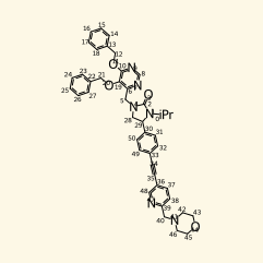 CC(C)N1C(=O)N(Cc2ncnc(OCc3ccccc3)c2OCc2ccccc2)CC1c1ccc(C#Cc2ccc(CN3CCOCC3)nc2)cc1